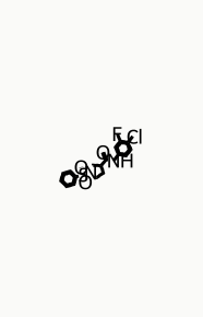 O=C(Nc1ccc(Cl)c(F)c1)C1CCN(S(=O)(=O)c2ccccc2)C1